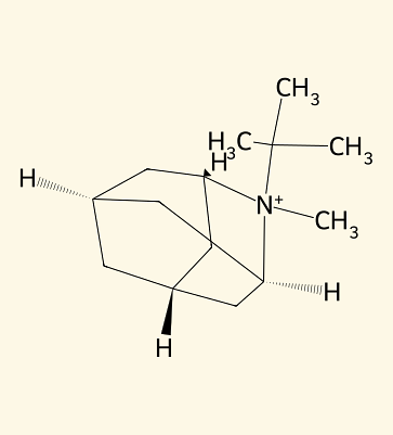 CC(C)(C)[N+]1(C)[C@H]2C[C@@H]3C[C@@H](C[C@H]1C3)C2